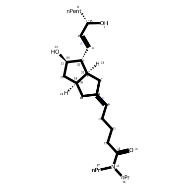 CCCCC[C@H](O)/C=C/[C@@H]1[C@H]2C/C(=C/CCCC(=O)N(CCC)CCC)C[C@H]2C[C@H]1O